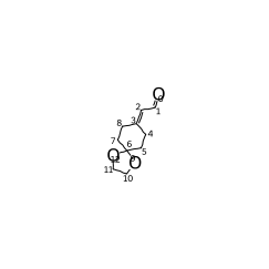 O=CC=C1CCC2(CC1)OCCO2